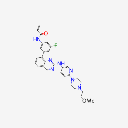 C=CC(=O)Nc1cc(F)cc(-c2cccc3cnc(Nc4ccc(N5CCN(CCOC)CC5)nc4)nc23)c1